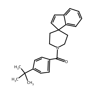 CC(C)(C)c1ccc(C(=O)N2CCC3(C=Cc4ccccc43)CC2)cc1